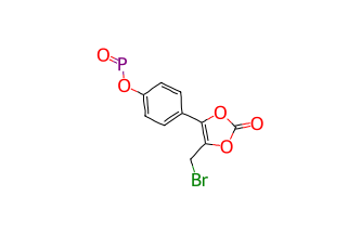 O=POc1ccc(-c2oc(=O)oc2CBr)cc1